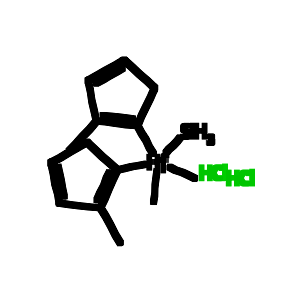 CC1=[C]([Hf]([CH3])([CH3])([SiH3])[C]2=C(C)C=CC2)CC=C1.Cl.Cl